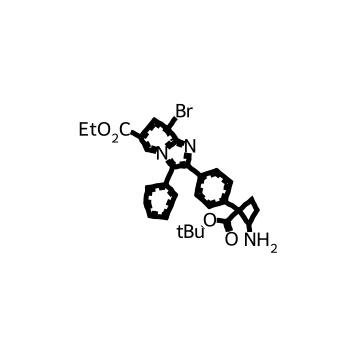 CCOC(=O)c1cc(Br)c2nc(-c3ccc(C4(C(=O)OC(C)(C)C)CCC4N)cc3)c(-c3ccccc3)n2c1